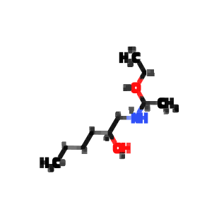 CCCCC(O)CNC(C)OCC